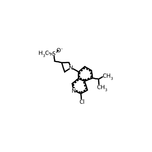 CC(C)c1ccc(N2CC(C[S@+](C)[O-])C2)c2cnc(Cl)cc12